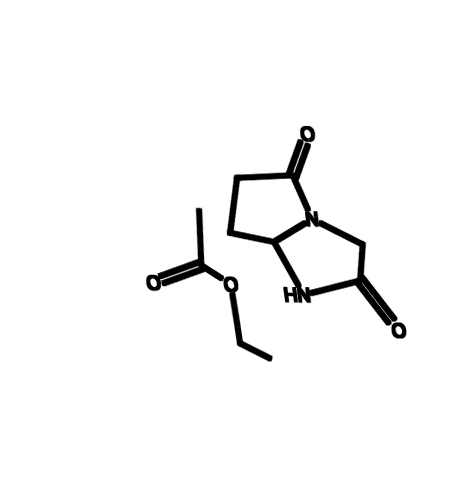 CCOC(C)=O.O=C1CN2C(=O)CCC2N1